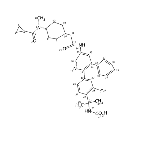 CN(C(=O)C1CC1)C1CCC(CC(=O)Nc2cnc(-c3ccc(C(C)(C)NC(=O)O)c(F)c3)c(-c3ccccc3)c2)CC1